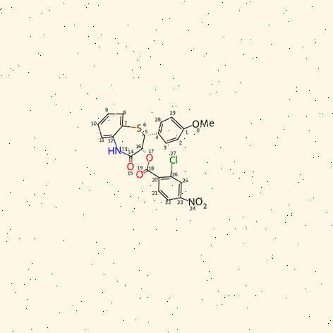 COc1ccc([C@H]2Sc3ccccc3NC(=O)[C@H]2OC(=O)c2ccc([N+](=O)[O-])cc2Cl)cc1